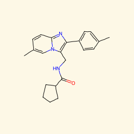 Cc1ccc(-c2nc3ccc(C)cn3c2CNC(=O)C2CCCC2)cc1